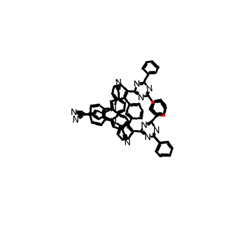 N#Cc1ccc2c(c1)c1cc(C#N)ccc1n2-c1cccc(-c2nc(-c3ccccc3)nc(-c3ccccc3)n2)c1-c1cccc(-c2c(-c3nc(-c4ccccc4)nc(-c4ccccc4)n3)cccc2-n2c3ccc(C#N)cc3c3cc(C#N)ccc32)c1